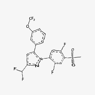 CS(=O)(=O)c1cc(F)c(-n2nc(C(F)F)cc2-c2cccc(OC(F)(F)F)c2)cc1F